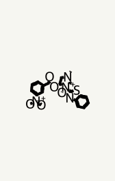 CN1CC(OC(=O)c2cccc([N+](=O)[O-])c2)[N+]([O-])(c2nc3ccccc3s2)C1